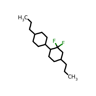 CCCC1CCC(C2CCC(CCC)CC2(F)F)CC1